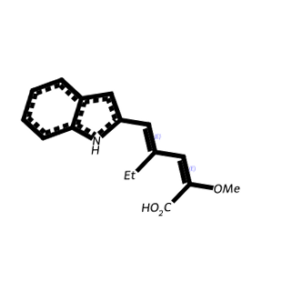 CCC(=C\c1cc2ccccc2[nH]1)/C=C(/OC)C(=O)O